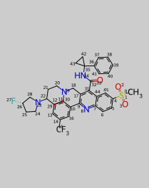 CS(=O)(=O)c1ccc2nc(-c3cccc(C(F)(F)F)c3)c(CN3CCC(N4CC[C@H](F)C4)CC3)c(C(=O)NC3(c4ccccc4)CC3)c2c1